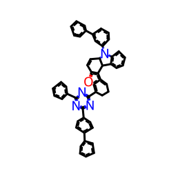 C1=CC2C(c3ccccc3N2c2cccc(-c3ccccc3)c2)c2c1oc1c2=CCCC=1c1nc(-c2ccccc2)nc(-c2ccc(-c3ccccc3)cc2)n1